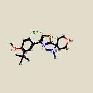 COc1ccc(-c2csc(C3(N(C)C)CCOCC3)n2)cc1C(C)(C)C.Cl